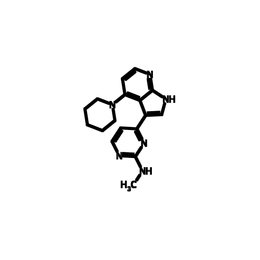 CNc1nccc(-c2c[nH]c3nccc(N4CCCCC4)c23)n1